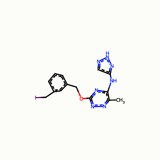 Cc1nnc(OCc2cccc(CI)c2)nc1Nc1cn[nH]n1